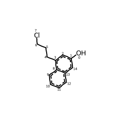 Oc1cc(CCCCl)c2ccccc2c1